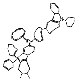 CC1CC2C3CC=C(N(C4=CC=C(C5=CC6=C(CC5)N(C5CCCCC5)C5C=CC=CC65)CC4)c4ccccc4)C=C3C(C3=CCCCC3)(C3C=CC=CC3)C2CC1C